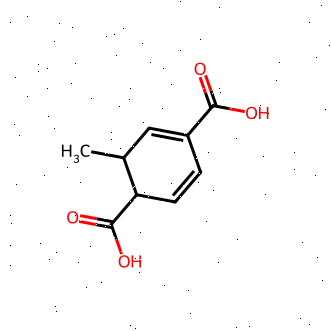 CC1C=C(C(=O)O)C=CC1C(=O)O